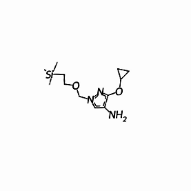 C[Si](C)(C)CCOCn1cc(N)c(OC2CC2)n1